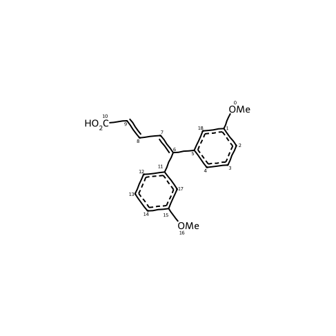 COc1cccc(C(=CC=CC(=O)O)c2cccc(OC)c2)c1